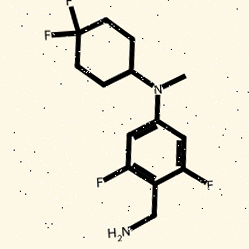 CN(c1cc(F)c(CN)c(F)c1)C1CCC(F)(F)CC1